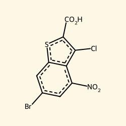 O=C(O)c1sc2cc(Br)cc([N+](=O)[O-])c2c1Cl